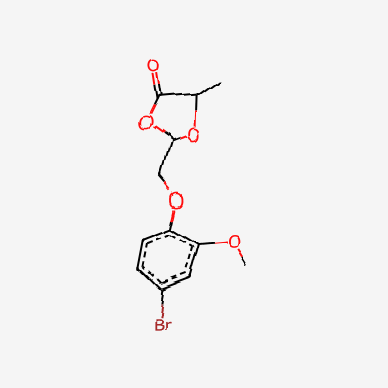 COc1cc(Br)ccc1OCC1OC(=O)C(C)O1